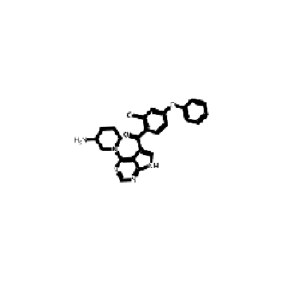 NC1CCCN(c2ncnc3[nH]cc(C(=O)c4ccc(Oc5ccccc5)cc4Cl)c23)C1